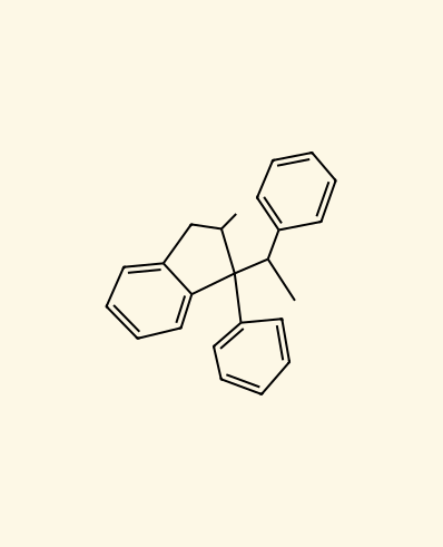 CC1Cc2ccccc2C1(c1ccccc1)C(C)c1ccccc1